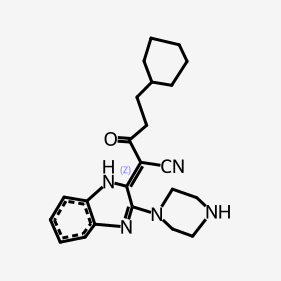 N#C/C(C(=O)CCC1CCCCC1)=C1/Nc2ccccc2N=C1N1CCNCC1